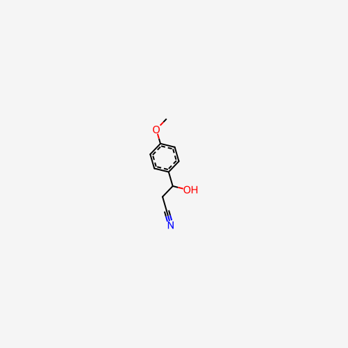 COc1ccc(C(O)CC#N)cc1